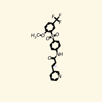 COc1ccc(C(F)(F)F)cc1S(=O)(=O)c1ccc(NC(=O)/C=C/c2cccnc2)cc1